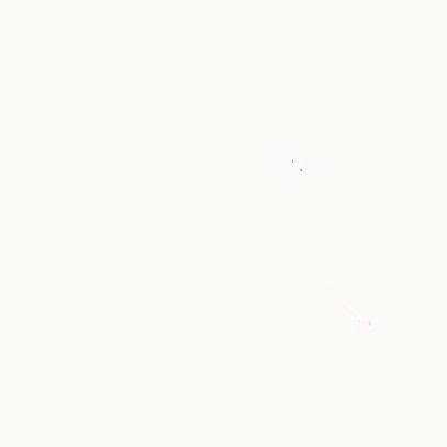 CN1Cc2ccccc2C2CCC(=O)CC21